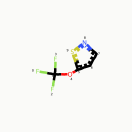 FC(F)(F)Oc1c[c]ns1